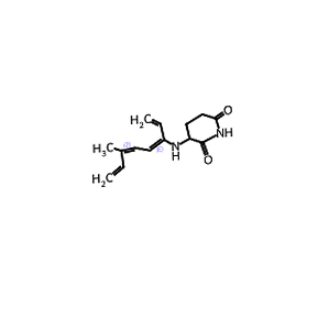 C=C/C(C)=C\C=C(/C=C)NC1CCC(=O)NC1=O